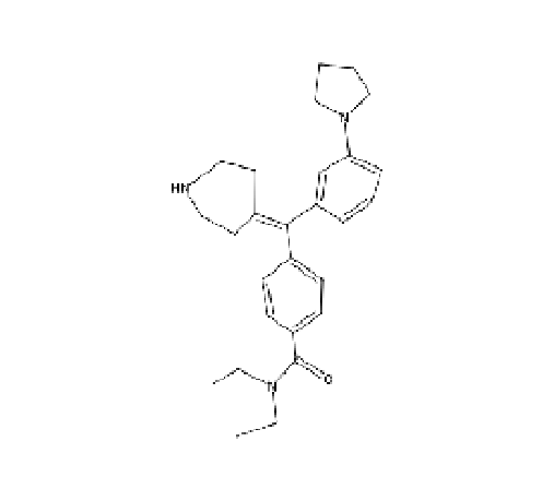 CCN(CC)C(=O)c1ccc(C(=C2CCNCC2)c2cccc(N3CCCC3)c2)cc1